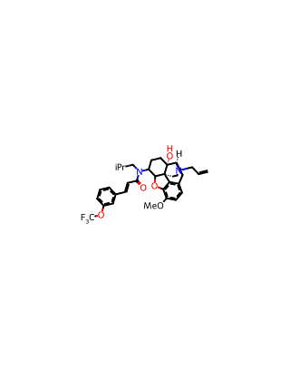 C=CCN1CC[C@]23c4c5ccc(OC)c4OC2C(N(CC(C)C)C(=O)/C=C/c2cccc(OC(F)(F)F)c2)CC[C@@]3(O)[C@H]1C5